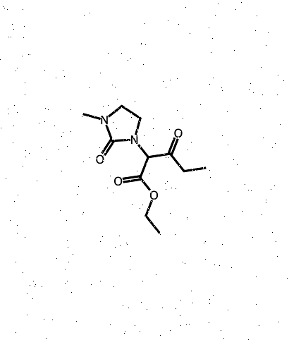 CCOC(=O)C(C(=O)CC)N1CCN(C)C1=O